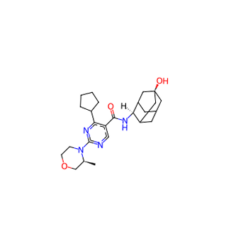 C[C@H]1COCCN1c1ncc(C(=O)N[C@H]2C3CC4CC2C[C@@](O)(C4)C3)c(C2CCCC2)n1